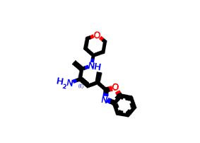 C=C(NC1CCOCC1)/C(N)=C\C(=C)c1nc2ccccc2o1